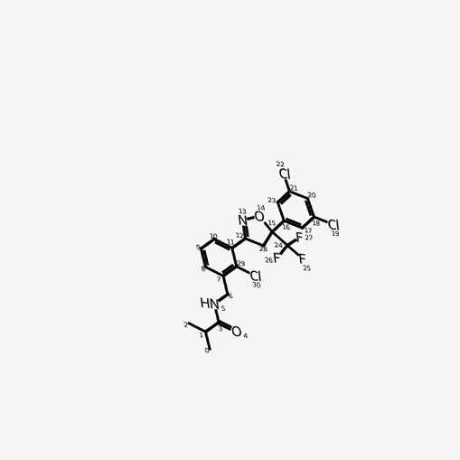 CC(C)C(=O)NCc1cccc(C2=NOC(c3cc(Cl)cc(Cl)c3)(C(F)(F)F)C2)c1Cl